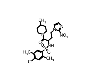 Cc1cc(S(=O)(=O)NC(CCn2ccnc2[N+](=O)[O-])C(=O)N2CCC(C)CC2)c(C)cc1Cl